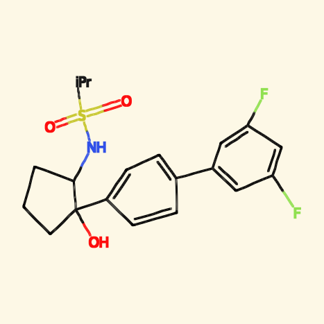 CC(C)S(=O)(=O)NC1CCCC1(O)c1ccc(-c2cc(F)cc(F)c2)cc1